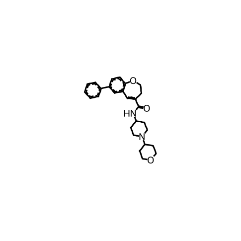 O=C(NC1CCN(C2CCOCC2)CC1)C1=Cc2cc(-c3ccccc3)ccc2OCC1